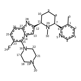 Cc1cccnc1[C@@H]1CCC[C@H](c2cn3c(N4CCN(C)CC4)c(F)ccc3n2)N1C